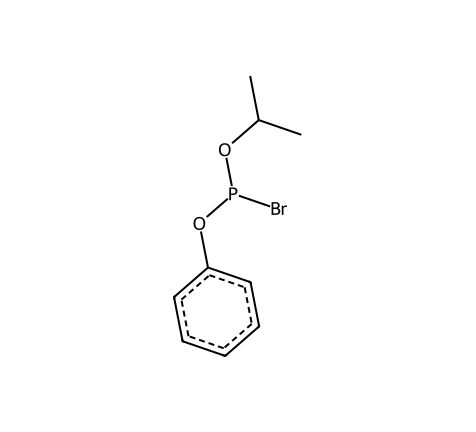 CC(C)OP(Br)Oc1ccccc1